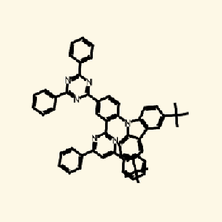 CC(C)(C)c1ccc2c(c1)c1cc(C(C)(C)C)ccc1n2-c1ccc(-c2nc(-c3ccccc3)nc(-c3ccccc3)n2)cc1-c1nc(-c2ccccc2)cc(-c2ccccc2)n1